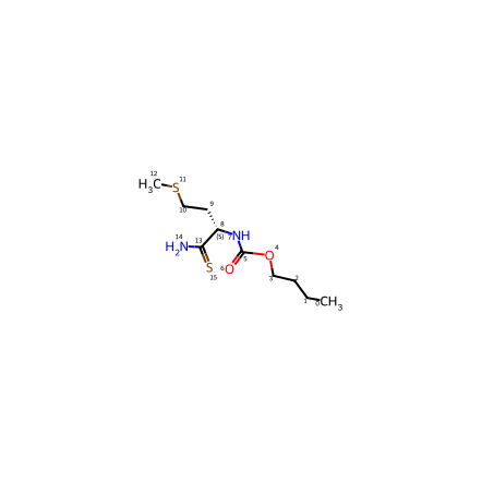 CCCCOC(=O)N[C@@H](CCSC)C(N)=S